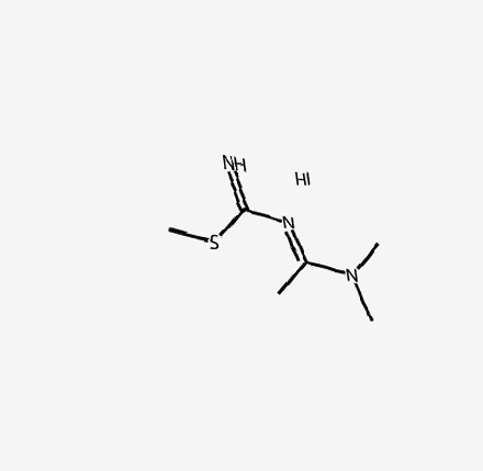 CSC(=N)/N=C(\C)N(C)C.I